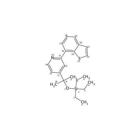 CC[Si](CC)(CC)OC(C)(C)c1ccnc(-c2cccc3ccsc23)c1